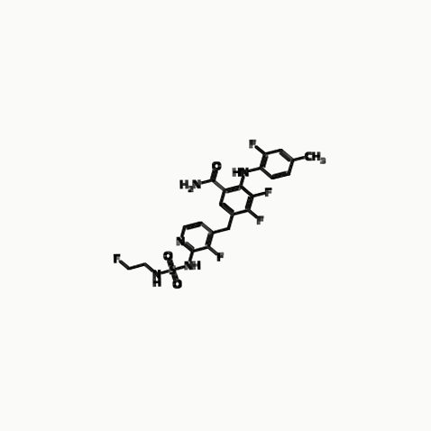 Cc1ccc(Nc2c(C(N)=O)cc(Cc3ccnc(NS(=O)(=O)NCCF)c3F)c(F)c2F)c(F)c1